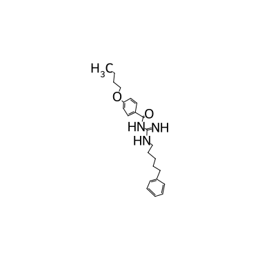 CCCCOc1ccc(C(=O)NC(=N)NCCCCCc2ccccc2)cc1